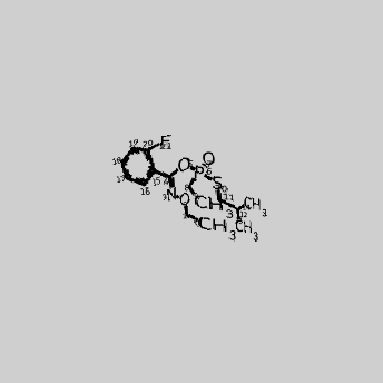 CCON=C(OP(=O)(CC)SCC(C)C)c1ccccc1F